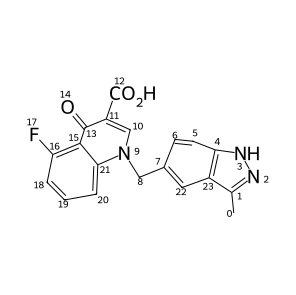 Cc1n[nH]c2ccc(Cn3cc(C(=O)O)c(=O)c4c(F)cccc43)cc12